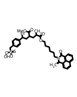 C=c1c2cccc3cccc(c(=O)n1CCCCCCOC(=O)C(C)CC(CC(CC)c1ccc(CS(=O)(=S)OO)cc1)C(=O)OC)c32